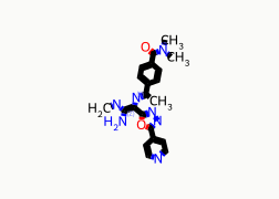 C=N/C(N)=C(\N=C(/C)c1ccc(C(=O)N(C)C)cc1)c1nnc(-c2ccncc2)o1